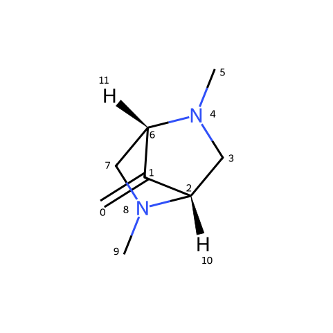 C=C1[C@@H]2CN(C)[C@H]1CN2C